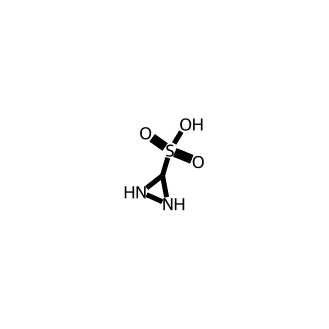 O=S(=O)(O)C1NN1